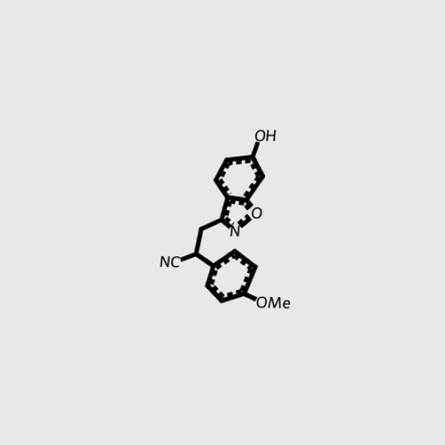 COc1ccc(C(C#N)Cc2noc3cc(O)ccc23)cc1